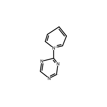 [c]1ncnc(-[n+]2ccccc2)n1